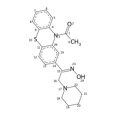 CC(=O)N1c2ccccc2Sc2ccc(C(CN3CCCCC3)=NO)cc21